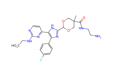 CC1(C(=O)NCCN)COC(c2nc(-c3ccc(F)cc3)c(-c3ccnc(NCC(=O)O)n3)[nH]2)OC1